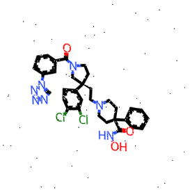 O=C(c1cccc(-n2cnnn2)c1)N1CC[C@](CCN2CCC(C(=O)NO)(c3ccccc3)CC2)(c2ccc(Cl)c(Cl)c2)C1